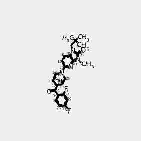 Cn1c(=O)n(CC(C)(C)C)c2ccc(N3CC4CCC3CN4C(=O)c3ccc(F)cc3F)nc21